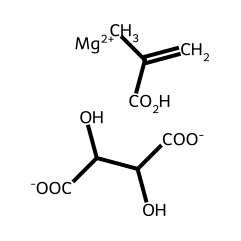 C=C(C)C(=O)O.O=C([O-])C(O)C(O)C(=O)[O-].[Mg+2]